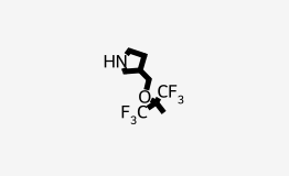 CC(OCC1CCNC1)(C(F)(F)F)C(F)(F)F